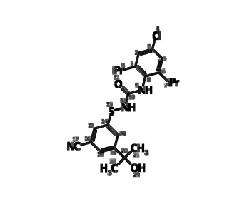 CC(C)c1cc(Cl)cc(C(C)C)c1NC(=O)NSc1cc(C#N)cc(C(C)(C)O)c1